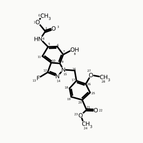 COC(=O)Nc1cc(O)c2c(c1)c(F)nn2Cc1ccc(C(=O)OC)cc1OC